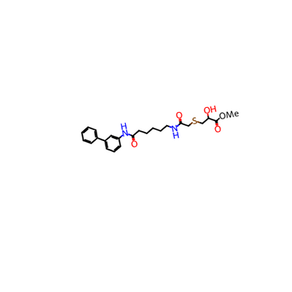 COC(=O)C(O)CSCC(=O)NCCCCCC(=O)Nc1cccc(-c2ccccc2)c1